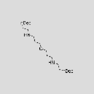 CCCCCCCCCCCCNCCCOCCCNCCCCCCCCCCCC